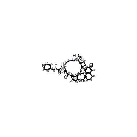 CO[C@H]1/C=C/CCCS(=O)(NC(=O)NCc2ccncc2)=NC(=O)c2ccc3c(c2)N(C[C@@H]2CC[C@H]21)C[C@@]1(CCCc2cc(Cl)ccc21)CO3